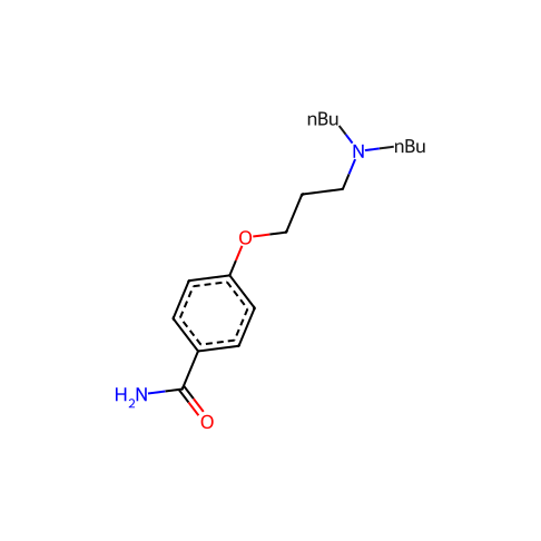 CCCCN(CCCC)CCCOc1ccc(C(N)=O)cc1